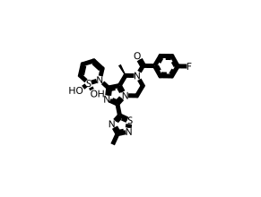 Cc1nsc(-c2nc(N3C=CC=CS3(O)O)c3n2CCN(C(=O)c2ccc(F)cc2)[C@@H]3C)n1